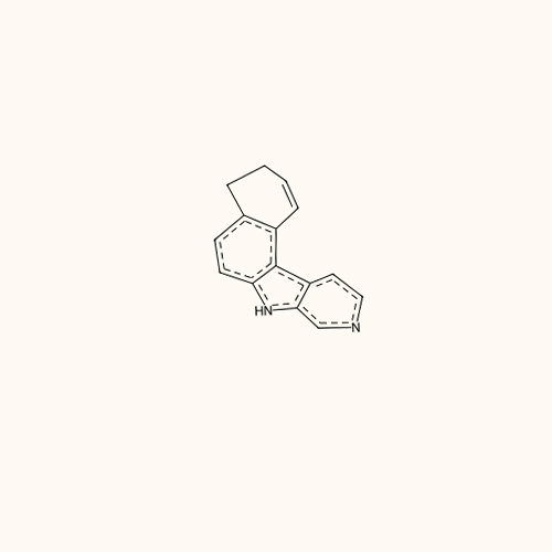 C1=Cc2c(ccc3[nH]c4cnccc4c23)CC1